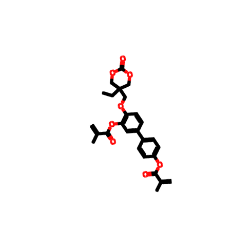 C=C(C)C(=O)Oc1ccc(-c2ccc(OCC3(CC)COC(=O)OC3)c(OC(=O)C(=C)C)c2)cc1